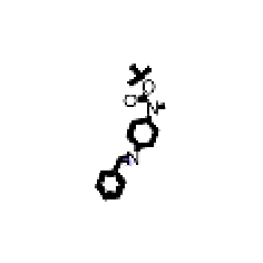 CN(C(=O)OC(C)(C)C)C1CCC(/N=C/c2ccccc2)CC1